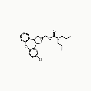 CCCN(CCC)C(=O)OCN1CC2c3ccccc3Oc3ccc(Cl)cc3C2C1